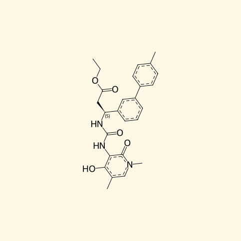 CCOC(=O)C[C@H](NC(=O)Nc1c(O)c(C)cn(C)c1=O)c1cccc(-c2ccc(C)cc2)c1